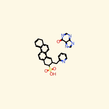 O=C1N=CN=C2N=CN=C12.O=S(=O)(O)C1Cc2ccc3c4c(ccc3c2=CC1Cc1ccccn1)CC=CC=4